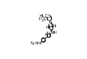 CC(=O)Nc1ccc(-c2ccc(N[C@@H]3C[C@@H]4CN(C5CCOC(C)(C)C5)C[C@@H]4C3)nn2)cc1